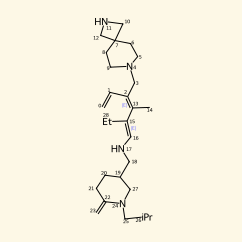 C=C/C(CN1CCC2(CC1)CNC2)=C(C)\C(=C\NCC1CCC(=C)N(CC(C)C)C1)CC